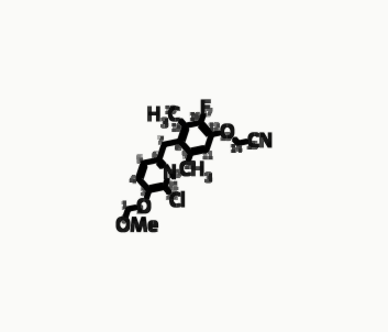 COCOc1ccc(Cc2c(C)cc(OCC#N)c(F)c2C)nc1Cl